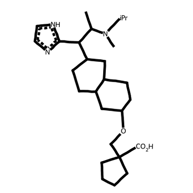 CC(C)N(C)C(C)C(c1ncc[nH]1)C1CCC2CC(OCC3(C(=O)O)CCCC3)CCC2C1